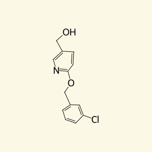 OCc1ccc(OCc2cccc(Cl)c2)nc1